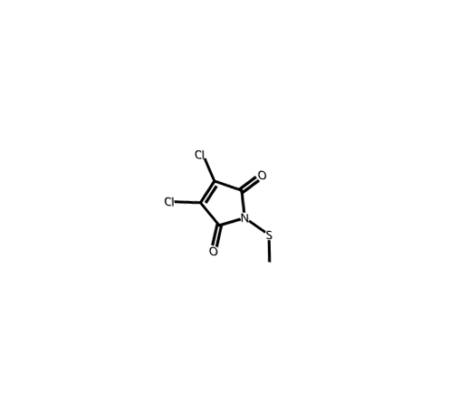 CSN1C(=O)C(Cl)=C(Cl)C1=O